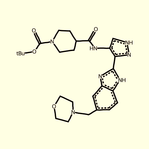 CC(C)(C)OC(=O)N1CCC(C(=O)Nc2c[nH]nc2-c2nc3cc(CN4CCOCC4)ccc3[nH]2)CC1